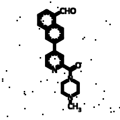 CN1CCN(C(=O)c2cc(-c3ccc4c(C=O)cccc4c3)ccn2)CC1